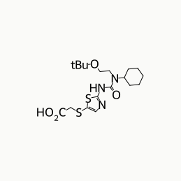 CC(C)(C)OCCN(C(=O)Nc1ncc(SCC(=O)O)s1)C1CCCCC1